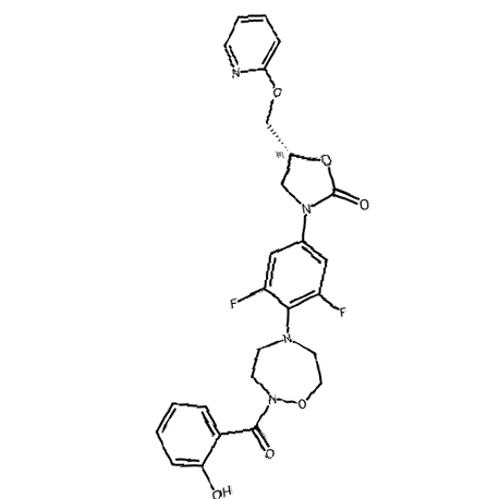 O=C(c1ccccc1O)N1CCN(c2c(F)cc(N3C[C@H](COc4ccccn4)OC3=O)cc2F)CCO1